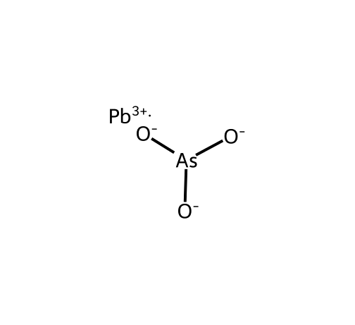 [O-][As]([O-])[O-].[Pb+3]